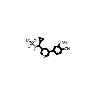 CCS(=O)(=O)NC(c1cncc(-c2ccc(C#N)c(OC)c2)c1)C1CC1